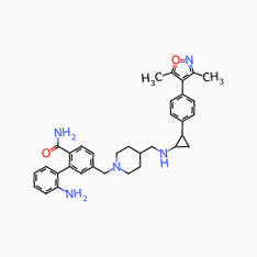 Cc1noc(C)c1-c1ccc(C2CC2NCC2CCN(Cc3ccc(C(N)=O)c(-c4ccccc4N)c3)CC2)cc1